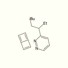 CCC(C)CC(CC)c1cccnn1.c1cc2ccc1-2